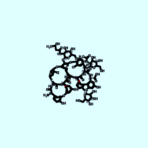 CC(=O)N[C@H]1C(O)[C@H](O)C(CO)O[C@H]1O[C@@H]1c2ccc(c(Cl)c2)Oc2cc3cc(c2O[C@@H]2OC(CO)[C@@H](O)[C@H](O)C2NC(=O)CC(C)O)Oc2ccc(cc2Cl)C[C@H]2NC(=O)[C@H](N)c4ccc(O)c(c4)Oc4cc(O)cc(c4)[C@H](NC2=O)C(=O)N[C@H]3C(=O)N[C@H]2C(=O)N[C@@H]1C(=O)N[C@H](C(=O)O)c1cc(O)cc(O[C@H]3OC(CO)[C@@H](O)[C@@H](O)C3O)c1-c1cc2ccc1I